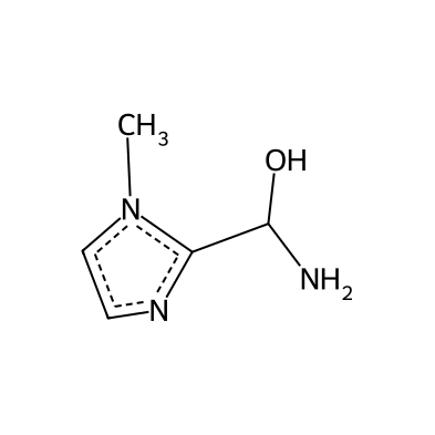 Cn1ccnc1C(N)O